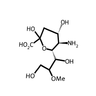 COC(CO)C(O)[C@@H]1OC(O)(C(=O)O)C[C@H](O)[C@H]1N